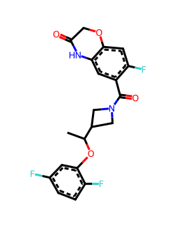 CC(Oc1cc(F)ccc1F)C1CN(C(=O)c2cc3c(cc2F)OCC(=O)N3)C1